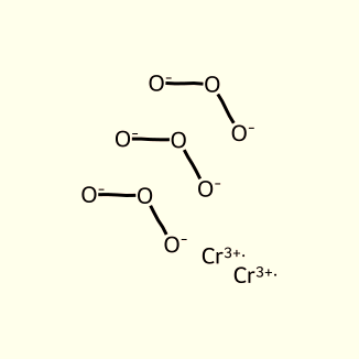 [Cr+3].[Cr+3].[O-]O[O-].[O-]O[O-].[O-]O[O-]